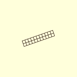 C1C2CC3C4C5C6C7C8C9C%10C%11C%12CC%13CC%14C%15C%16C%17C%18C%19C%20C%21C%22C1C23C%224C%215C%206C%197C%188C%179C%16%10C%15%11C%13%14%12